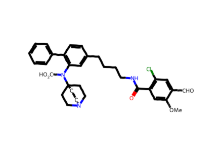 COc1cc(C(=O)NCCCCc2ccc(-c3ccccc3)c(N(C(=O)O)C34CCN(CC3)CC4)c2)c(Cl)cc1C=O